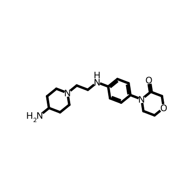 NC1CCN(CCNc2ccc(N3CCOCC3=O)cc2)CC1